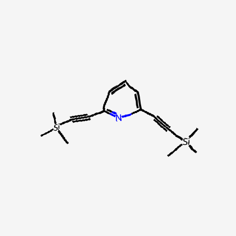 C[Si](C)(C)C#Cc1cccc(C#C[Si](C)(C)C)n1